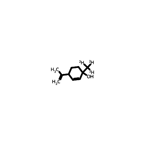 [2H]C([2H])([2H])C1(O)C=CC(C(=C)C)CC1